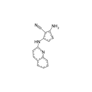 N#Cc1c(Nc2ccc3ccccc3n2)csc1N